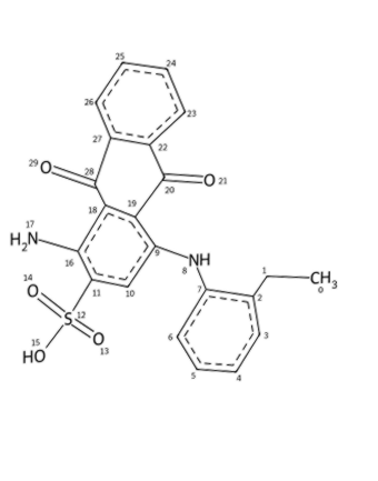 CCc1ccccc1Nc1cc(S(=O)(=O)O)c(N)c2c1C(=O)c1ccccc1C2=O